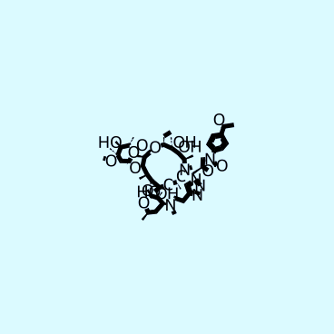 CC[C@H]1OC(=O)[C@H](C)[C@@H](O[C@H]2C[C@@](C)(OC)[C@@H](O)[C@H](C)O2)[C@H](C)[C@@H](O[C@@H]2O[C@H](C)C[C@H](N(C)CCc3cn(C[C@H]4CN(c5ccc(C(C)=O)cc5)C(=O)O4)nn3)[C@H]2O)[C@](C)(O)C[C@@H](C)CN(C)[C@H](C)[C@@H](O)[C@]1(C)O